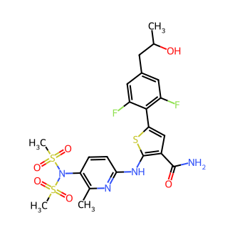 Cc1nc(Nc2sc(-c3c(F)cc(CC(C)O)cc3F)cc2C(N)=O)ccc1N(S(C)(=O)=O)S(C)(=O)=O